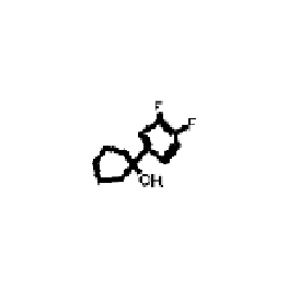 OC1(c2ccc(F)c(F)c2)CCCCC1